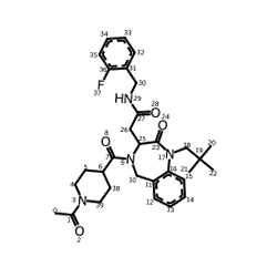 CC(=O)N1CCC(C(=O)N2Cc3ccccc3N(CC(C)(C)C)C(=O)C2CC(=O)NCc2ccccc2F)CC1